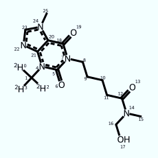 [2H]C([2H])([2H])n1c(=O)n(CCCCC(=O)N(C)CO)c(=O)c2c1ncn2C